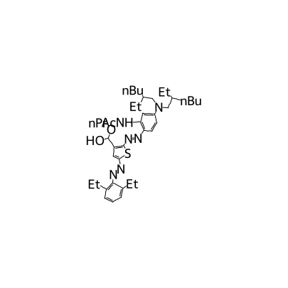 CCCCC(CC)CN(CC(CC)CCCC)c1ccc(N=Nc2sc(N=Nc3c(CC)cccc3CC)cc2C(O)OCCC)c(NC(C)=O)c1